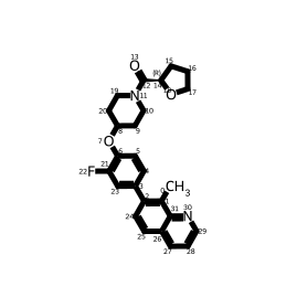 Cc1c(-c2ccc(OC3CCN(C(=O)[C@H]4CCCO4)CC3)c(F)c2)ccc2cccnc12